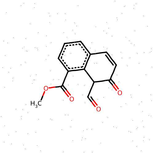 COC(=O)c1cccc2c1C(C=O)C(=O)C=C2